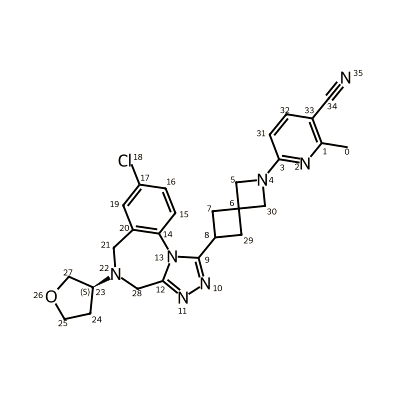 Cc1nc(N2CC3(CC(c4nnc5n4-c4ccc(Cl)cc4CN([C@H]4CCOC4)C5)C3)C2)ccc1C#N